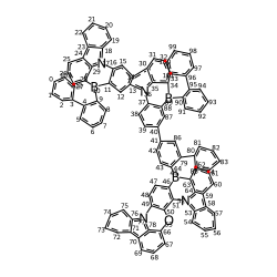 c1ccc(-c2ccccc2B2c3cc4c(cc3-n3c5ccccc5c5cccc2c53)c2cccc3c2n4-c2ccc(-c4ccc(B5c6ccc7c(c6-n6c8ccccc8c8cccc5c86)Oc5cccc6c8ccccc8n-7c56)c(-c5ccccc5)c4)cc2B3c2ccccc2-c2ccccc2)cc1